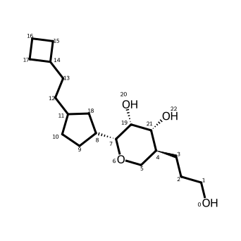 OCCC[C@H]1CO[C@H](C2CCC(CCC3CCC3)C2)[C@H](O)[C@@H]1O